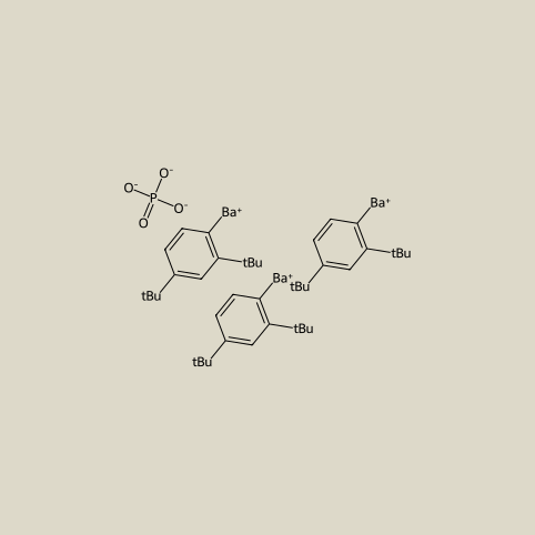 CC(C)(C)c1cc[c]([Ba+])c(C(C)(C)C)c1.CC(C)(C)c1cc[c]([Ba+])c(C(C)(C)C)c1.CC(C)(C)c1cc[c]([Ba+])c(C(C)(C)C)c1.O=P([O-])([O-])[O-]